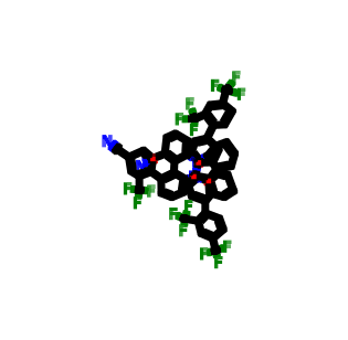 N#Cc1ccc(-c2cccc(-n3c4ccccc4c4cc(-c5ccc(C(F)(F)F)cc5C(F)(F)F)ccc43)c2-c2c(C#N)cccc2-n2c3ccccc3c3cc(-c4ccc(C(F)(F)F)cc4C(F)(F)F)ccc32)c(C(F)(F)F)c1